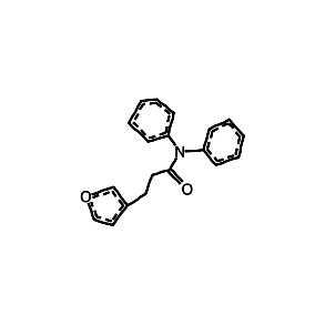 O=C(CCc1ccoc1)N(c1ccccc1)c1ccccc1